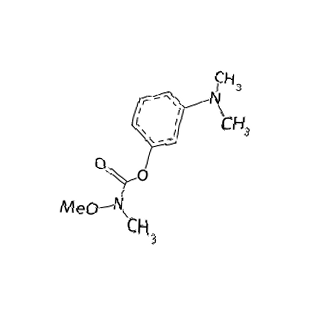 CON(C)C(=O)Oc1cccc(N(C)C)c1